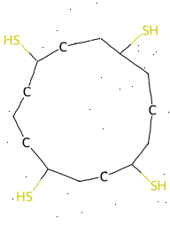 SC1CCCC(S)CCC(S)CCCC(S)CC1